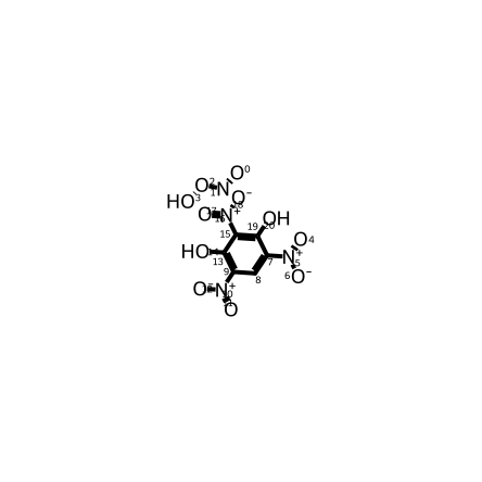 O=NOO.O=[N+]([O-])c1cc([N+](=O)[O-])c(O)c([N+](=O)[O-])c1O